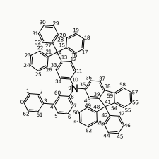 c1ccc(-c2cccc(N(c3ccc(C(c4ccccc4)(c4ccccc4)c4ccccc4)cc3)c3ccc4c(c3)C(c3ccccc3)(c3ccccc3)c3ccccc3-4)c2)cc1